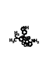 CC(C)c1ccc2c(c1)OC1(O)c3cccc(N)c3C(=O)C21NC(=O)c1ccc2[nH]ccc2c1